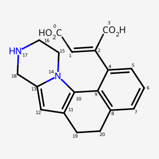 O=C(O)C=C(C(=O)O)c1cccc2c1-c1c(cc3n1CCNC3)CC2